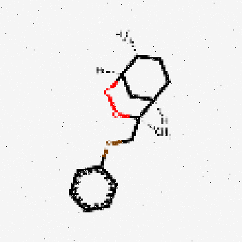 C[C@@H]1CC[C@@H]2C[C@H]1OO[C@]2(C)CSc1ccccc1